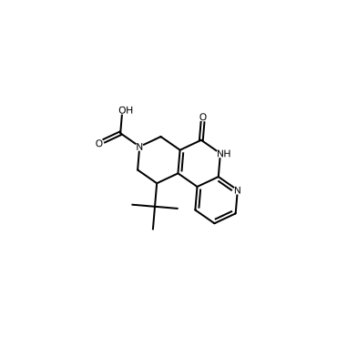 CC(C)(C)C1CN(C(=O)O)Cc2c1c1cccnc1[nH]c2=O